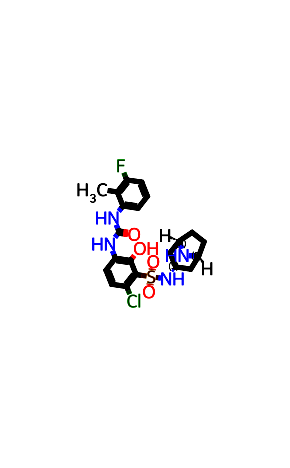 Cc1c(F)cccc1NC(=O)Nc1ccc(Cl)c(S(=O)(=O)N[C@@H]2C[C@H]3CC[C@@H](C2)N3)c1O